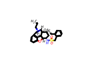 C=CCN1CC[C@]23c4c5cccc4O[C@H]2[C@@H](NS(=O)(=O)Cc2ccccc2CC(C)C)CC[C@@]3(OC(C)=O)[C@H]1C5